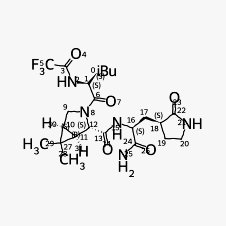 CC[C@H](C)[C@H](NC(=O)C(F)(F)F)C(=O)N1C[C@H]2[C@@H]([C@H]1C(=O)N[C@@H](C[C@@H]1CCNC1=O)C(N)=O)C2(C)C